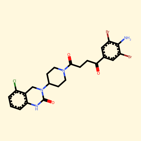 Nc1c(Br)cc(C(=O)CCC(=O)N2CCC(N3Cc4c(Cl)cccc4NC3=O)CC2)cc1Br